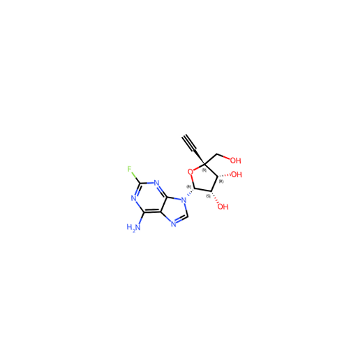 C#C[C@]1(CO)O[C@@H](n2cnc3c(N)nc(F)nc32)[C@@H](O)[C@H]1O